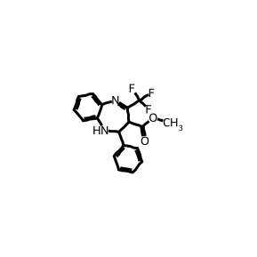 COC(=O)C1C(C(F)(F)F)=Nc2ccccc2NC1c1ccccc1